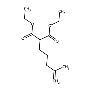 C=C(C)CCCC(C(=O)OCC)C(=O)OCC